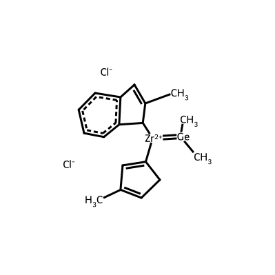 CC1=CC[C]([Zr+2]([CH]2C(C)=Cc3ccccc32)=[Ge]([CH3])[CH3])=C1.[Cl-].[Cl-]